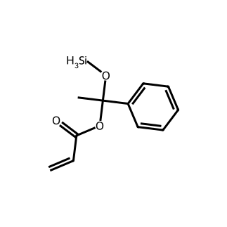 C=CC(=O)OC(C)(O[SiH3])c1ccccc1